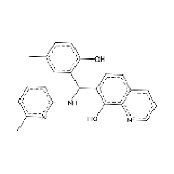 Cc1ccc(O)c(C(Nc2cccc(C)n2)c2ccc3cccnc3c2O)c1